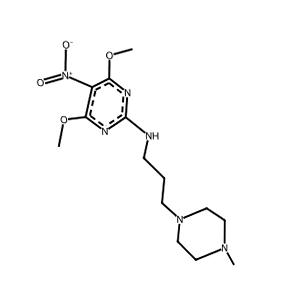 COc1nc(NCCCN2CCN(C)CC2)nc(OC)c1[N+](=O)[O-]